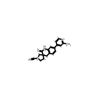 Cc1cc(-c2ccc3c(c2)NC(=O)C2(CCN(C#N)C2)C3)ccn1